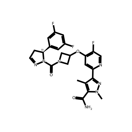 Cc1c(-c2cc(OC3CN(C(=O)N4N=CC[C@H]4c4cc(F)cc(F)c4)C3)c(F)cn2)nn(C)c1C(N)=O